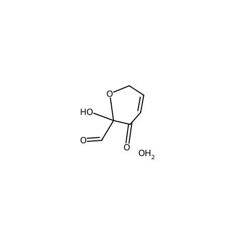 O.O=CC1(O)OCC=CC1=O